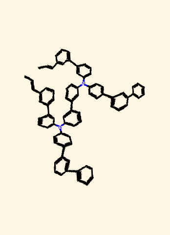 C/C=C/c1cccc(-c2cccc(N(c3ccc(-c4cccc(-c5ccccc5)c4)cc3)c3cccc(-c4cccc(N(c5ccc(-c6cccc(-c7ccccc7)c6)cc5)c5cccc(-c6cccc(/C=C/C)c6)c5)c4)c3)c2)c1